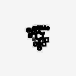 CNc1cc(Cl)c(S(=O)(=O)Cl)cc1S(=O)(=O)Cl